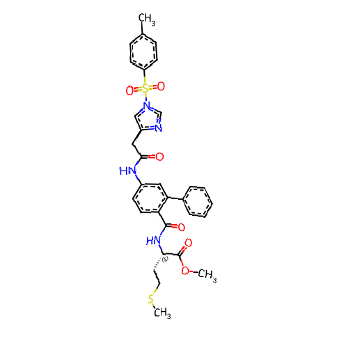 COC(=O)[C@H](CCSC)NC(=O)c1ccc(NC(=O)Cc2cn(S(=O)(=O)c3ccc(C)cc3)cn2)cc1-c1ccccc1